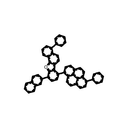 c1ccc(-c2cccc3c2ccc2c3oc3c(-c4ccc5ccccc5c4)ccc(-c4ccc5ccc6c(-c7ccccc7)ccc7ccc4c5c76)c32)cc1